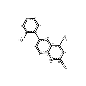 Cc1ccccc1-c1ccc2[nH]c(=O)cc(C(F)(F)F)c2c1